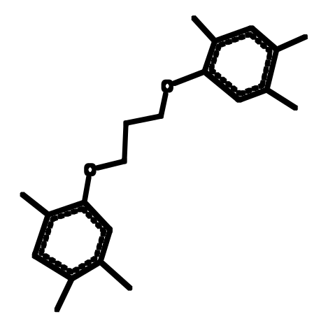 Cc1cc(C)c(OCCCOc2cc(C)c(C)cc2C)cc1C